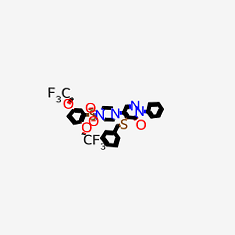 O=c1c(SCc2ccccc2)c(N2CCN(S(=O)(=O)c3cc(OCC(F)(F)F)ccc3OCC(F)(F)F)CC2)cnn1-c1ccccc1